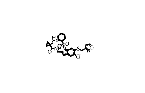 CC1(C(=O)NCc2cc3cc(Cl)c(SCc4ccon4)cc3n2S(=O)(=O)c2ccccc2)CC1